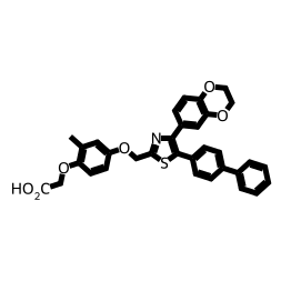 Cc1cc(OCc2nc(-c3ccc4c(c3)OCCO4)c(-c3ccc(-c4ccccc4)cc3)s2)ccc1OCC(=O)O